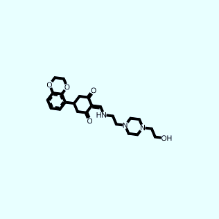 O=C1CC(c2cccc3c2OCCO3)CC(=O)C1=CNCCN1CCN(CCO)CC1